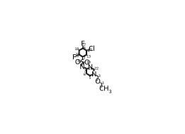 CCOCn1ccc(=NS(=O)(=O)c2cc(Cl)c(F)cc2F)nc1